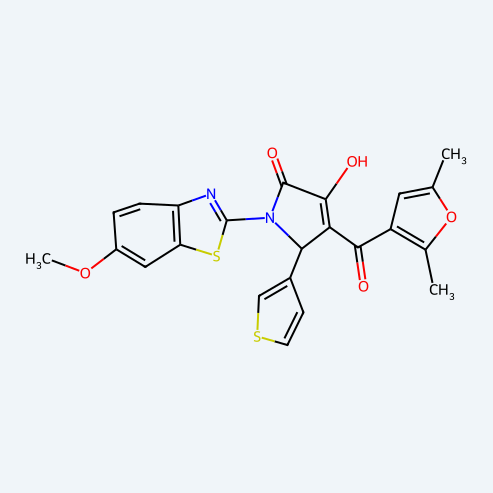 COc1ccc2nc(N3C(=O)C(O)=C(C(=O)c4cc(C)oc4C)C3c3ccsc3)sc2c1